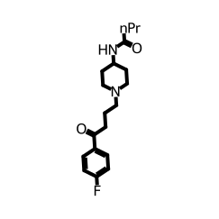 CCCC(=O)NC1CCN(CCCC(=O)c2ccc(F)cc2)CC1